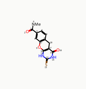 CNC(=O)c1ccc2c(c1)Oc1[nH]c(=S)[nH]c(=O)c1C2